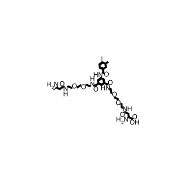 CC1CC(C(=O)Nc2cc(C(=O)NCCOCCOCCNC(=O)C[C@@H](C)N)cc(C(=O)NCCOCCOCCNC(=O)C[C@H](N)C(=O)O)c2)=CC=C1I